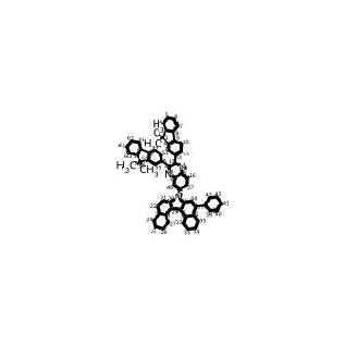 CC1(C)c2ccccc2-c2ccc(-c3nc4ccc(-n5c6ccc7ccccc7c6c6c7ccccc7c(-c7ccccc7)cc65)cc4nc3-c3ccc4c(c3)C(C)(C)c3ccccc3-4)cc21